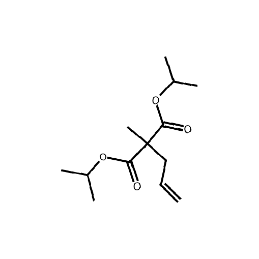 C=CCC(C)(C(=O)OC(C)C)C(=O)OC(C)C